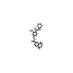 CC1(C)CCC(C)(C)c2cc(C(=O)COc3ccc(C(=O)NN4CCCCC4)c(O)c3)ccc21